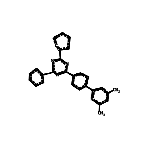 Cc1cc(C)nc(-c2ccc(-c3nc(-c4ccccc4)nc(-c4ccccc4)n3)cc2)c1